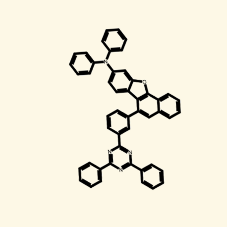 c1ccc(-c2nc(-c3ccccc3)nc(-c3cccc(-c4cc5ccccc5c5oc6cc(N(c7ccccc7)c7ccccc7)ccc6c45)c3)n2)cc1